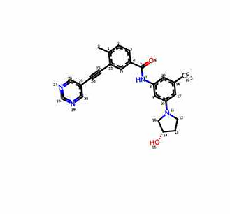 Cc1ccc(C(=O)Nc2cc(N3CC[C@H](O)C3)cc(C(F)(F)F)c2)cc1C#Cc1cncnc1